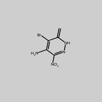 C=C1NN=C([N+](=O)[O-])C(N)=C1Br